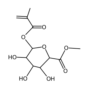 C=C(C)C(=O)OC1OC(C(=O)OC)C(O)C(O)C1O